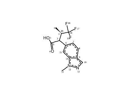 C[C@H](C(C(=O)O)c1ccc2cnn(C)c2c1)C(F)(F)F